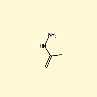 C=C(C)NN